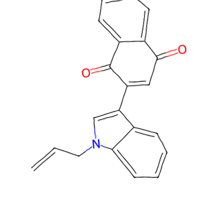 C=CCn1cc(C2=CC(=O)c3ccccc3C2=O)c2ccccc21